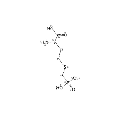 N[C@@H](CCSCP(=O)(O)O)C(=O)O